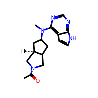 CC(=O)N1CC2C[C@H](N(C)c3ncnc4[nH]ccc34)C[C@@H]2C1